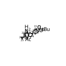 CC(=O)N1c2ccc(N3CCN(C(=O)OC(C)(C)C)[C@@H](C)C3)cc2[C@H](N)[C@@H](C)[C@@H]1C1CC1